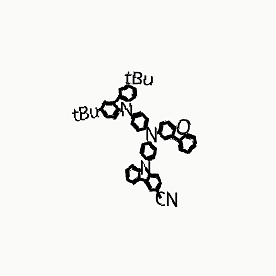 CC(C)(C)c1ccc2c(c1)c1cc(C(C)(C)C)ccc1n2-c1ccc(N(c2ccc(-n3c4ccccc4c4cc(C#N)ccc43)cc2)c2ccc3oc4ccccc4c3c2)cc1